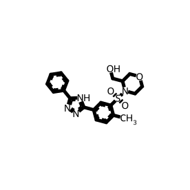 Cc1ccc(-c2nnc(-c3ccccc3)[nH]2)cc1S(=O)(=O)N1CCOCC1CO